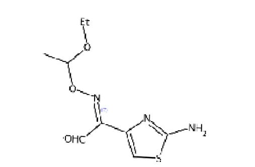 CCOC(C)O/N=C(\[C]=O)c1csc(N)n1